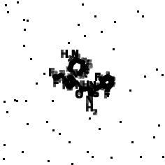 Nc1sc(-c2c(F)cccc2F)nc1C(=O)Nc1cnn(CC(F)F)c1N1CC[C@@H](N)CC(F)(F)C1